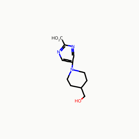 O=C(O)c1ncc(N2CCC(CO)CC2)cn1